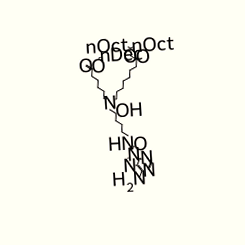 CCCCCCCCCCCOC(=O)CCCCCN(CCCCCCCC(=O)OC(CCCCCCCC)CCCCCCCC)CC(O)CCCCNC(=O)n1cnc2c(N)ncnc21